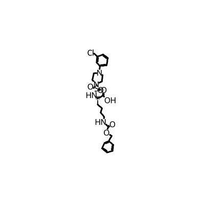 O=C(NCCCC[C@@H](NS(=O)(=O)N1CCN(c2cccc(Cl)c2)CC1)C(=O)O)OCc1ccccc1